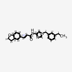 CCc1cccc(Cn2cnc(NC(=O)/C=C/c3ccc4c(c3)CCO4)c2)c1